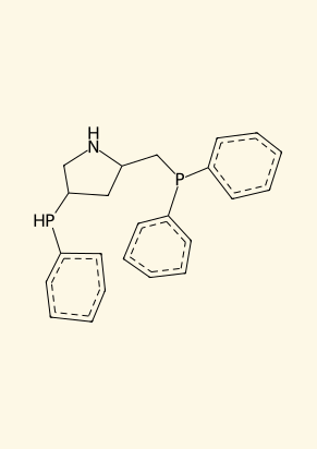 c1ccc(PC2CNC(CP(c3ccccc3)c3ccccc3)C2)cc1